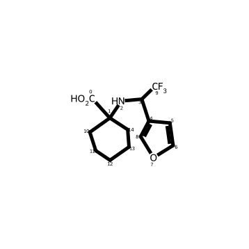 O=C(O)C1(NC(c2ccoc2)C(F)(F)F)CCCCC1